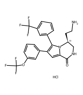 Cl.NCC[C@H]1CNC(=O)c2cc(-c3cccc(OC(F)(F)F)c3)c(-c3cccc(C(F)(F)F)c3)n21